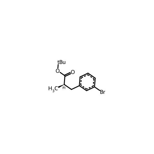 C[C@H](Cc1cccc(Br)c1)C(=O)OC(C)(C)C